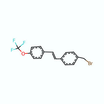 FC(F)(F)Oc1ccc(C=Cc2ccc(CBr)cc2)cc1